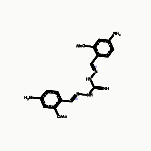 COc1cc(N)ccc1/C=N/NC(=N)N/N=C/c1ccc(N)cc1OC